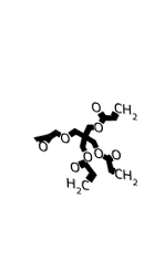 C=CC(=O)OCC(COCC1CO1)(COC(=O)C=C)COC(=O)C=C